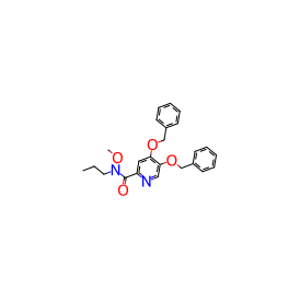 CCCN(OC)C(=O)c1cc(OCc2ccccc2)c(OCc2ccccc2)cn1